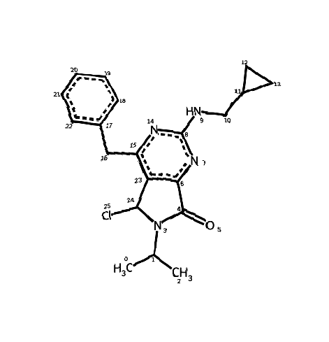 CC(C)N1C(=O)c2nc(NCC3CC3)nc(Cc3ccccc3)c2C1Cl